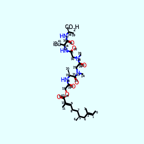 C/C=C(\C)C[C@@H](C)CC/C=C(\C)C(=O)OCC(=O)N[C@@H](C)C(=O)N(C)CC(=O)N(C)CC(=O)NC(C(=O)N[C@H](C)C(=O)O)C(C)CC